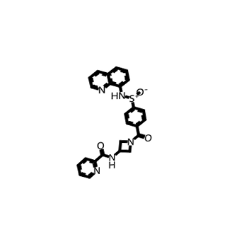 O=C(NC1CN(C(=O)c2ccc([S+]([O-])Nc3cccc4cccnc34)cc2)C1)c1ccccn1